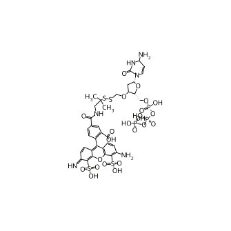 CC(C)(CNC(=O)c1ccc(-c2c3ccc(=N)c(S(=O)(=O)O)c-3oc3c(S(=O)(=O)O)c(N)ccc23)c(C(=O)O)c1)SSCOC1C[C@H](N2C=CC(N)NC2=O)O[C@@H]1COP(=O)(O)OP(=O)(O)OP(=O)(O)O